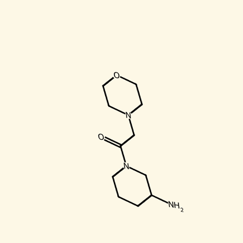 NC1CCCN(C(=O)CN2CCOCC2)C1